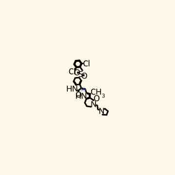 Cc1c(/C=C2\C(=O)NC3=CCC(S(=O)(=O)Cc4c(Cl)cccc4Cl)C=C32)[nH]c2c1C(=O)N(CCN1CCCC1)CCC2